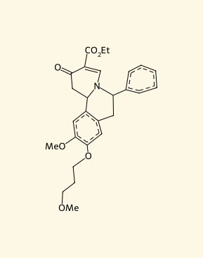 CCOC(=O)C1=CN2C(c3ccccc3)Cc3cc(OCCCOC)c(OC)cc3C2CC1=O